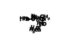 Cc1ncc(C(=O)NCCN2CCCC2(C)C)cc1NC(=O)c1nnn2cc(-c3cc[nH]c3)ccc12